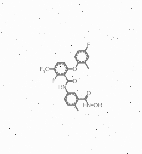 Cc1cc(F)ccc1Oc1ccc(C(F)(F)F)c(F)c1C(=O)Nc1ccc(C)c(C(=O)NO)c1